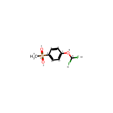 CS(=O)(=O)c1c[c]c(OC(F)F)cc1